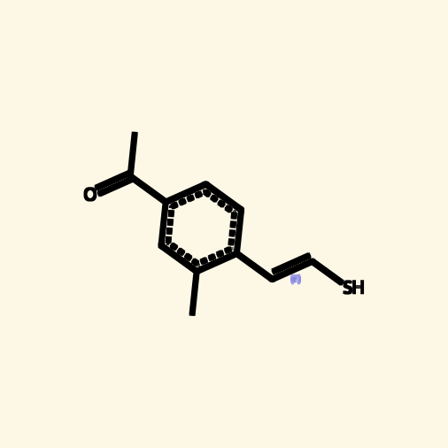 CC(=O)c1ccc(/C=C/S)c(C)c1